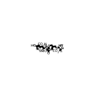 CO[C@@]1(NC(=O)Cc2onc(O)c2C(=O)O)C(=O)N2C(C(=O)O)=C(CSc3nnnn3C)CS[C@@H]21